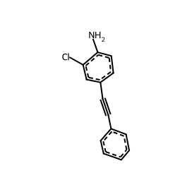 Nc1ccc(C#Cc2ccccc2)cc1Cl